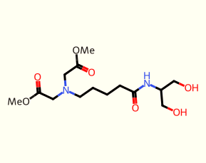 COC(=O)CN(CCCCC(=O)NC(CO)CO)CC(=O)OC